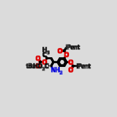 CCCC(C)C(=O)Oc1ccc(C(CC(C)OC(=O)OC(C)(C)C)[C@H](N)C(=O)O)cc1OC(=O)C(C)CCC